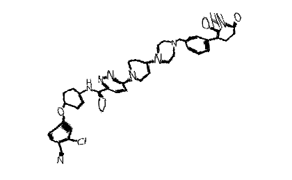 N#Cc1ccc(OC2CCC(NC(=O)c3ccc(N4CCC(N5CCN(Cc6cccc(C7CCC(=O)NC7=O)c6)CC5)CC4)nn3)CC2)cc1Cl